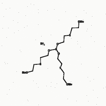 B.COCCSCCOB(OCCSCCOC)OCCSCCOC